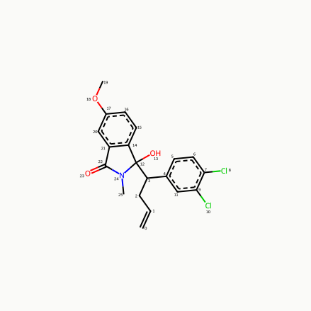 C=CCC(c1ccc(Cl)c(Cl)c1)C1(O)c2ccc(OC)cc2C(=O)N1C